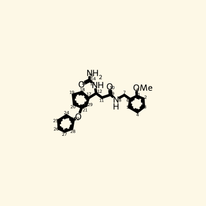 COc1ccccc1CNC(=O)CC(NC(N)=O)c1cccc(Oc2ccccc2)c1